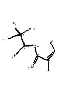 CC=C(C)C(=O)OC(F)C(F)(F)F